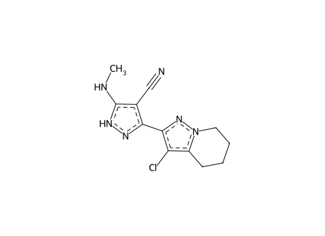 CNc1[nH]nc(-c2nn3c(c2Cl)CCCC3)c1C#N